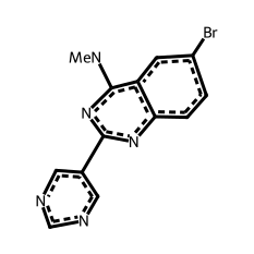 CNc1nc(-c2cncnc2)nc2ccc(Br)cc12